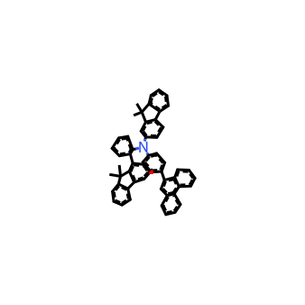 CC1(C)c2ccccc2-c2ccc(N(c3ccc(-c4cc5ccccc5c5ccccc45)cc3)c3ccccc3-c3cccc4c3C(C)(C)c3ccccc3-4)cc21